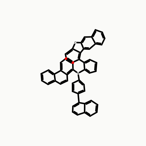 c1ccc(N(c2ccc(-c3cccc4ccccc34)cc2)c2cccc3c2ccc2ccccc23)c(-c2cccc3oc4cc5ccccc5cc4c23)c1